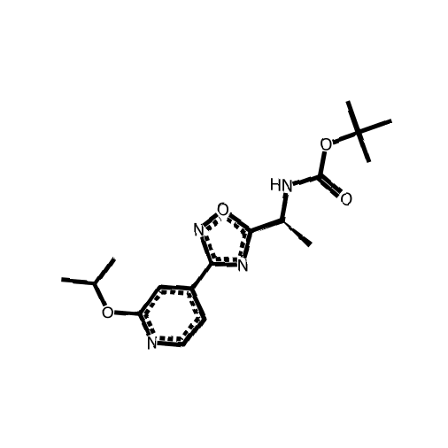 CC(C)Oc1cc(-c2noc([C@H](C)NC(=O)OC(C)(C)C)n2)ccn1